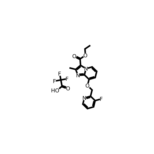 CCOC(=O)c1c(C)nc2c(OCc3ncccc3F)cccn12.O=C(O)C(F)(F)F